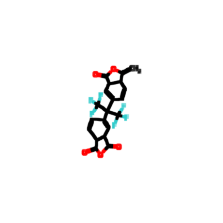 C=C1OC(=O)C2C=C(C(C3=CC4C(=O)OC(=O)C4C=C3)(C(F)(F)F)C(F)(F)F)C=CC12